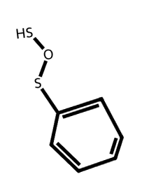 SOSc1ccccc1